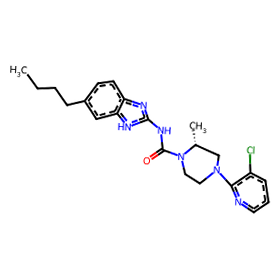 CCCCc1ccc2nc(NC(=O)N3CCN(c4ncccc4Cl)C[C@H]3C)[nH]c2c1